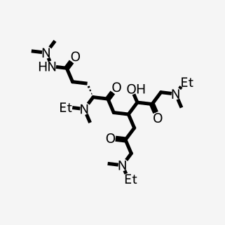 CCN(C)CC(=O)CC(CC(=O)[C@@H](CCC(=O)NN(C)C)N(C)CC)C(O)C(=O)CN(C)CC